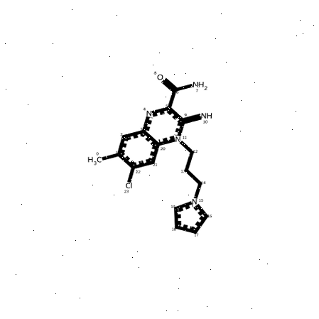 Cc1cc2nc(C(N)=O)c(=N)n(CCCn3cccc3)c2cc1Cl